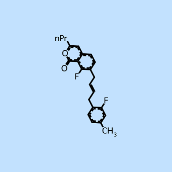 CCCc1cc2ccc(C/C=C/Cc3ccc(C)cc3F)c(F)c2c(=O)o1